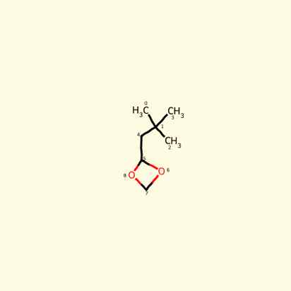 CC(C)(C)CC1OCO1